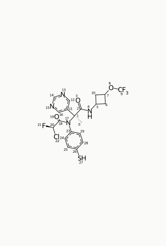 C[C@@](C(=O)NC1CC(OC(F)(F)F)C1)(c1cncnc1)N(C(=O)[C@H](F)Cl)c1ccc(S)cc1